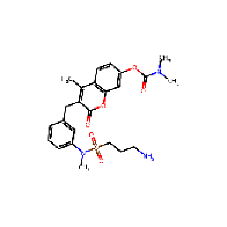 Cc1c(Cc2cccc(N(C)S(=O)(=O)CCCN)c2)c(=O)oc2cc(OC(=O)N(C)C)ccc12